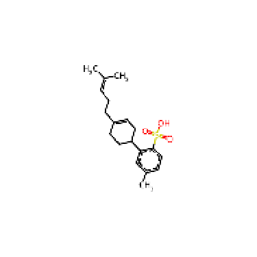 CC(C)=CCCC1=CCC(c2cc(C)ccc2S(=O)(=O)O)CC1